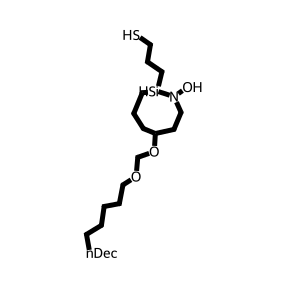 CCCCCCCCCCCCCCCOCOC1CCC[SiH](CCCS)N(O)CC1